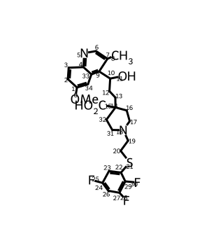 COc1ccc2ncc(C)c(C(O)CCC3(C(=O)O)CCN(CCSc4cc(F)cc(F)c4F)CC3)c2c1